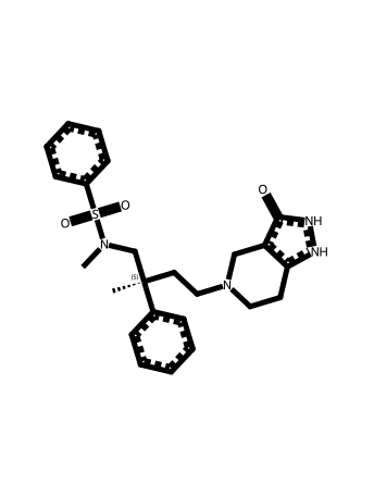 CN(C[C@@](C)(CCN1CCc2[nH][nH]c(=O)c2C1)c1ccccc1)S(=O)(=O)c1ccccc1